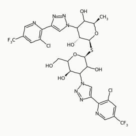 C[C@H]1O[C@@H](S[C@@H]2OC(CO)[C@H](O)C(n3cc(-c4ncc(C(F)(F)F)cc4Cl)nn3)C2O)[C@H](O)C(n2cc(-c3ncc(C(F)(F)F)cc3Cl)nn2)C1O